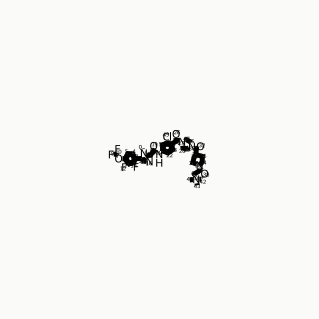 Cn1c(-c2ccc(OC(F)F)c(F)c2F)cnc1C(=O)Nc1ccc(C(=O)N2CCN(C(=O)C3CCN(C(=O)C[N+](C)(C)C)CC3)CC2)c(Cl)c1